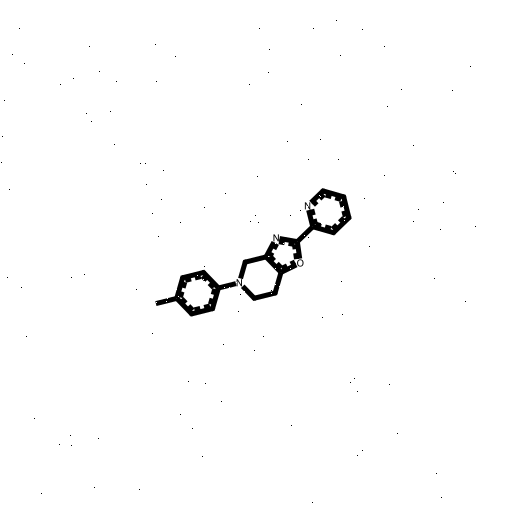 Cc1ccc(N2CCc3oc(-c4ccccn4)nc3C2)cc1